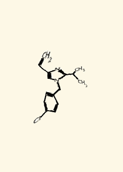 C=Cc1cn(Cc2ccc(Cl)cc2)c(C(C)C)n1